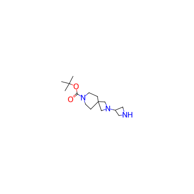 CC(C)(C)OC(=O)N1CCC2(CC1)CN(C1CNC1)C2